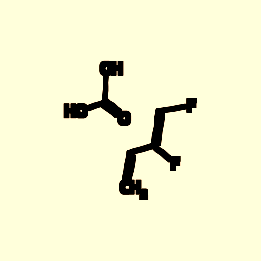 C=CC(F)=CF.O=C(O)O